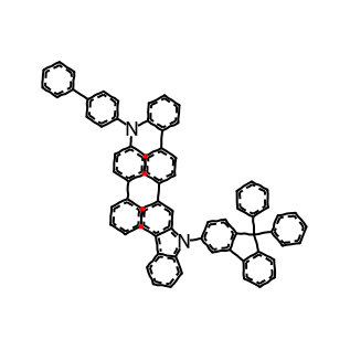 c1ccc(-c2ccc(N(c3ccc(-c4ccccc4)cc3)c3ccccc3-c3ccc(-c4ccc5c6ccccc6n(-c6ccc7c(c6)-c6ccccc6C7(c6ccccc6)c6ccccc6)c5c4)cc3)cc2)cc1